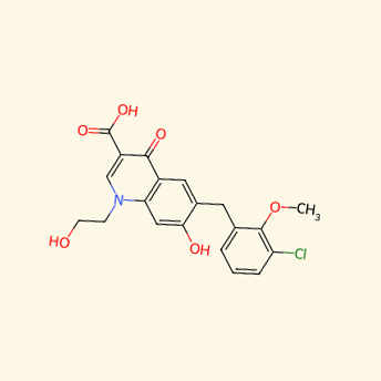 COc1c(Cl)cccc1Cc1cc2c(=O)c(C(=O)O)cn(CCO)c2cc1O